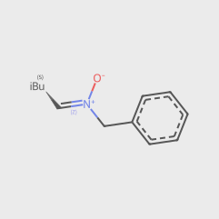 CC[C@H](C)/C=[N+](\[O-])Cc1ccccc1